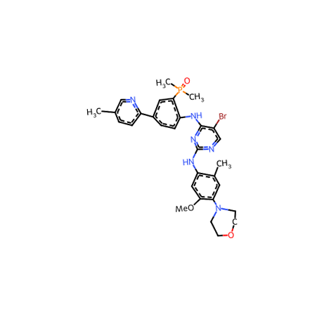 COc1cc(Nc2ncc(Br)c(Nc3ccc(-c4ccc(C)cn4)cc3P(C)(C)=O)n2)c(C)cc1N1CCOCC1